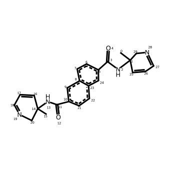 CC1(NC(=O)c2ccc3cc(C(=O)NC4(C)C=CC=NC4)ccc3c2)C=CC=NC1